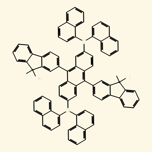 CC1(C)c2ccccc2-c2ccc(-c3c4ccc(N(c5cccc6ccccc56)c5cccc6ccccc56)cc4c(-c4ccc5c(c4)C(C)(C)c4ccccc4-5)c4ccc(N(c5cccc6ccccc56)c5cccc6ccccc56)cc34)cc21